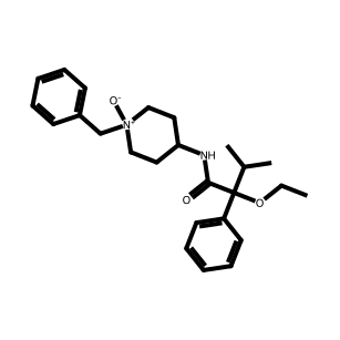 CCOC(C(=O)NC1CC[N+]([O-])(Cc2ccccc2)CC1)(c1ccccc1)C(C)C